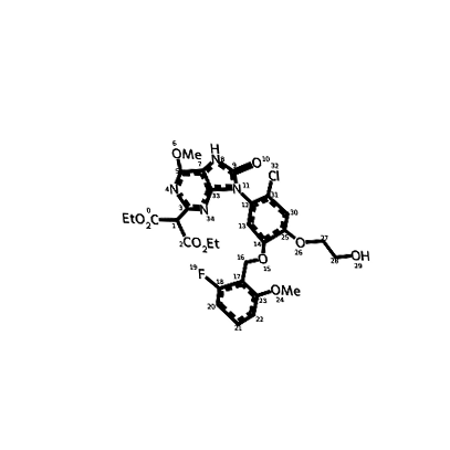 CCOC(=O)C(C(=O)OCC)c1nc(OC)c2[nH]c(=O)n(-c3cc(OCc4c(F)cccc4OC)c(OCCO)cc3Cl)c2n1